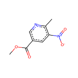 COC(=O)c1cnc(C)c([N+](=O)[O-])c1